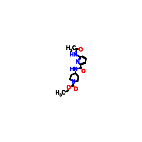 CCOC(=O)N1CCC(NC(=O)c2cccc(NC(C)=O)n2)CC1